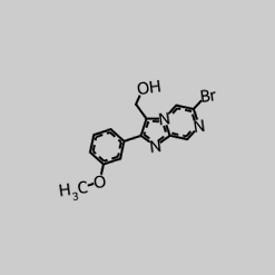 COc1cccc(-c2nc3cnc(Br)cn3c2CO)c1